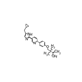 C=C(O)C(C)(C)COc1ccc(-c2ccc(-c3ncc(CC4CC4)[nH]3)cn2)cc1